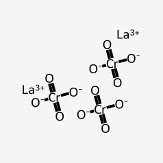 [La+3].[La+3].[O]=[Cr](=[O])([O-])[O-].[O]=[Cr](=[O])([O-])[O-].[O]=[Cr](=[O])([O-])[O-]